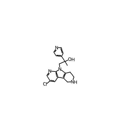 CC(O)(Cn1c2c(c3cc(Cl)cnc31)CNCC2)c1ccncc1